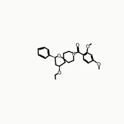 CCO[C@H]1C[C@@H](c2ccccc2)OC2(CCN(C(=O)c3ccc(OC)cc3OC)CC2)C1